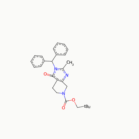 Cc1nc2c(c(=O)n1C(c1ccccc1)c1ccccc1)CCN(C(=O)OCC(C)(C)C)C2